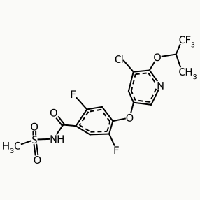 CC(Oc1ncc(Oc2cc(F)c(C(=O)NS(C)(=O)=O)cc2F)cc1Cl)C(F)(F)F